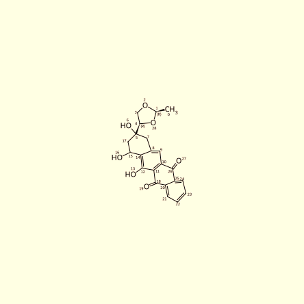 C[C@@H]1OC[C@H](C2(O)Cc3cc4c(c(O)c3C(O)C2)C(=O)c2ccccc2C4=O)O1